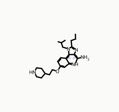 CCCc1nc(=C(/C)N)/c(=C2/C=CC(OCCC3CCNCC3)=CC2=N)n1CC(C)C